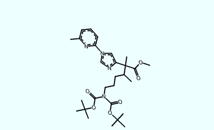 COC(=O)C(C)(c1cn(-c2cccc(C)n2)cn1)C(C)CCCN(C(=O)OC(C)(C)C)C(=O)OC(C)(C)C